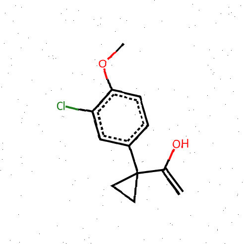 C=C(O)C1(c2ccc(OC)c(Cl)c2)CC1